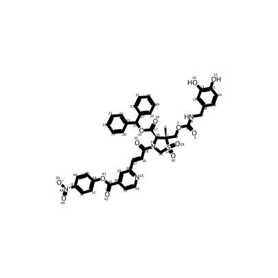 C[C@]1(COC(=O)NCc2ccc(O)c(O)c2)[C@H](C(=O)OC(c2ccccc2)c2ccccc2)N(C(=O)/C=C/c2cc(C(=O)Oc3ccc([N+](=O)[O-])cc3)ccn2)CS1(=O)=O